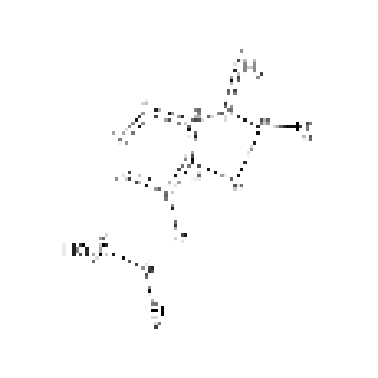 C=C1c2cccc(CC(CC)C(=O)O)c2CC1CC